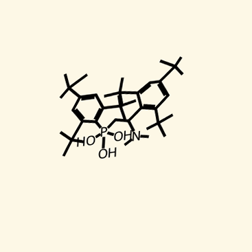 CN(C)C(CP(O)(O)(O)c1c(C(C)(C)C)cc(C(C)(C)C)cc1C(C)(C)C)c1c(C(C)(C)C)cc(C(C)(C)C)cc1C(C)(C)C